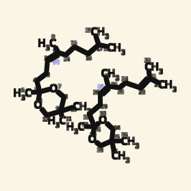 C/C(=C/CCC1(C)OCC(C)(C)CO1)CCCC(C)C.CC(C)=CCC/C(C)=C\CCC1(C)OCC(C)(C)CO1